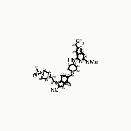 CNc1nc(NC2CCN(Cc3ccc4c(cc(C#N)n4CCN4CCN([S+](C)[O-])CC4)c3C)CC2)c2cc(CC(F)(F)F)sc2n1